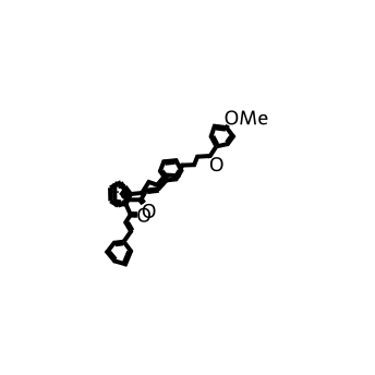 COc1ccc(C(=O)CCCCCCCC[C]23[CH]4[CH]5[CH]6[C]2(C(=O)C=Cc2ccccc2)[Fe]54632789[CH]3[CH]2[CH]7[C]8(C(=O)C=Cc2ccccc2)[CH]39)cc1